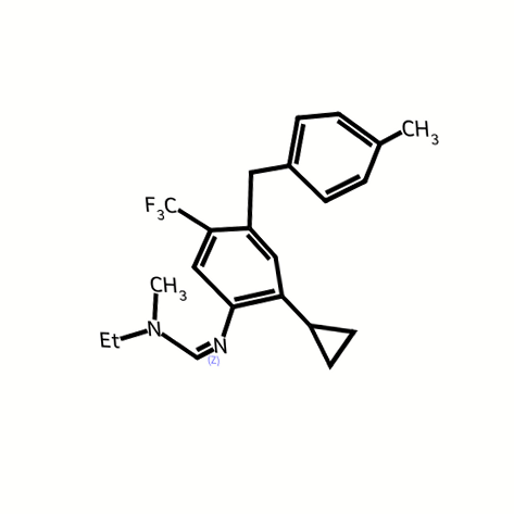 CCN(C)/C=N\c1cc(C(F)(F)F)c(Cc2ccc(C)cc2)cc1C1CC1